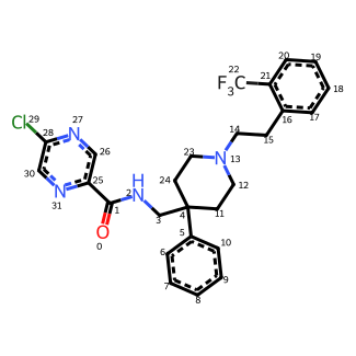 O=C(NCC1(c2ccccc2)CCN(CCc2ccccc2C(F)(F)F)CC1)c1cnc(Cl)cn1